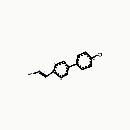 CCC/C=C/c1ccc(-c2ccc(C#N)cc2)cc1